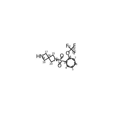 O=S(=O)(c1ccccc1OC(F)(F)F)N1CC2(CNC2)C1